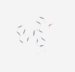 CC(C)(C)OC(=O)n1cccc1-c1cc(-c2cccc3ccccc23)c2ncccc2c1.CCOC=O